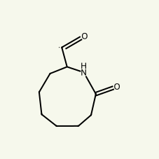 O=[C]C1CCCCCCC(=O)N1